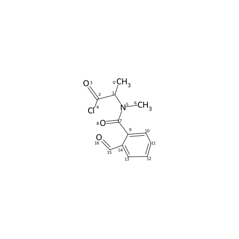 CC(C(=O)Cl)N(C)C(=O)c1ccccc1C=O